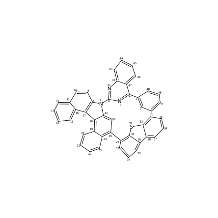 c1ccc(-c2nc(-n3c4ccc5ccccc5c4c4c5ccccc5c(-c5cccc6c5sc5ccccc56)cc43)nc3ccccc23)cc1